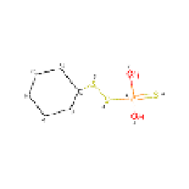 OP(O)(=S)SSC1CCCCC1